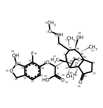 CONC[C@]1(C)C[C@@H](C(Oc2ccc3c(c2F)B(O)OC3)C(=O)O)[C@@]2(C)[C@H](C)CC[C@]3(CCC(=O)[C@H]32)[C@@H](C)[C@@H]1O